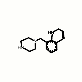 C1=Cc2cccc(CN3CCNCC3)c2NC1